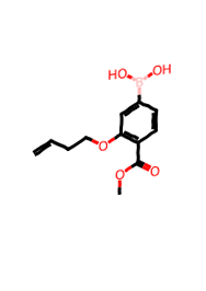 C=CCCOc1cc(B(O)O)ccc1C(=O)OC